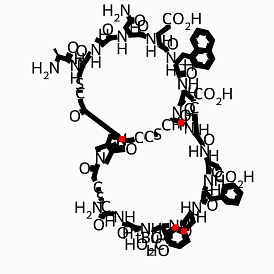 C[C@H](N)C(=O)N[C@H]1CSCCC(=O)N2CC34CN5CC3(C2)CN(C4)C(=O)CCSC[C@@H]2NC(=O)[C@H](NC(=O)[C@H](Cc3cccc4ccccc34)NC(=O)[C@H](CCC(=O)O)NC(=O)[C@H](CC(N)=O)NC(=O)[C@@H](C)NC1=O)C(C(=O)O)C[C@H](NC2=O)C(=O)N[C@@H](CC(=O)O)C(=O)N[C@@H](Cc1ccccc1)C(=O)N[C@@H](Cc1ccc(O)cc1)C(=O)NC(CC(=O)O)C(=O)N[C@@H](C(C)(C)C)C(=O)N[C@H](C(N)=O)CSCCC5=O